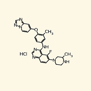 Cc1cc(Nc2ncnc3ccc(N4CCNC(C)C4)c(F)c23)ccc1Oc1ccn2ncnc2c1.Cl